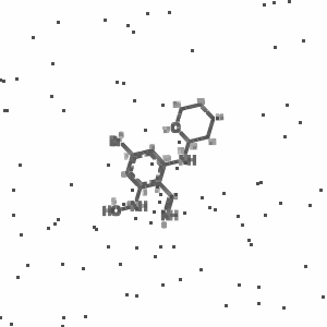 N=Cc1c(NO)cc(Br)cc1NC1CCCCO1